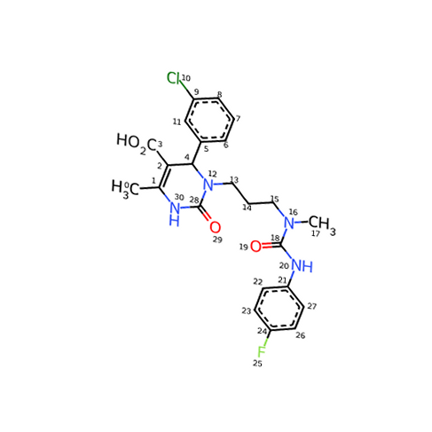 CC1=C(C(=O)O)C(c2cccc(Cl)c2)N(CCCN(C)C(=O)Nc2ccc(F)cc2)C(=O)N1